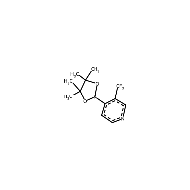 CC1(C)OB(c2ccncc2C(F)(F)F)OC1(C)C